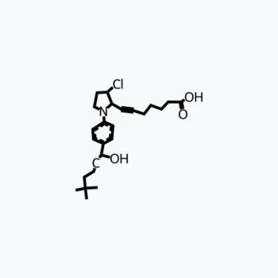 CC(C)(C)CCCC(O)c1ccc(N2CCC(Cl)C2C#CCCCCC(=O)O)cc1